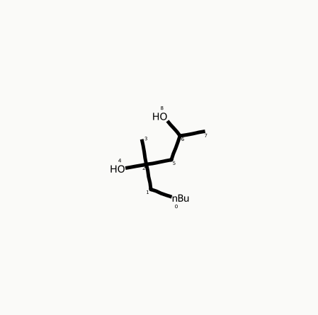 CCCCCC(C)(O)CC(C)O